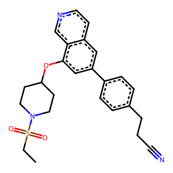 CCS(=O)(=O)N1CCC(Oc2cc(-c3ccc(CCC#N)cc3)cc3ccncc23)CC1